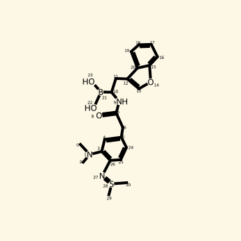 CN(C)c1cc(CC(=O)NC(Cc2coc3ccccc23)B(O)O)ccc1N=S(C)C